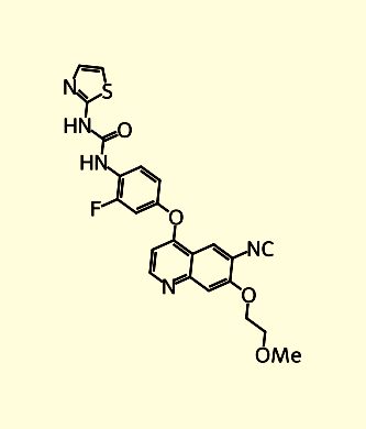 [C-]#[N+]c1cc2c(Oc3ccc(NC(=O)Nc4nccs4)c(F)c3)ccnc2cc1OCCOC